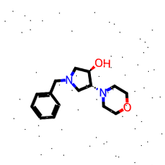 O[C@@H]1CN(Cc2ccccc2)C[C@H]1N1CCOCC1